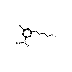 CCc1cc(CCCCN)cc([S+](C)[O-])c1